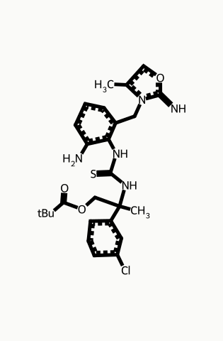 Cc1coc(=N)n1Cc1cccc(N)c1NC(=S)NC(C)(COC(=O)C(C)(C)C)c1cccc(Cl)c1